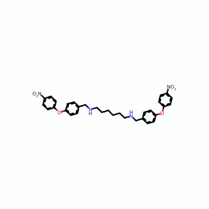 O=[N+]([O-])c1ccc(Oc2ccc(CNCCCCCCNCc3ccc(Oc4ccc([N+](=O)[O-])cc4)cc3)cc2)cc1